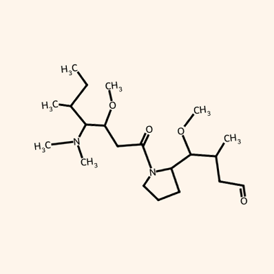 CCC(C)C(C(CC(=O)N1CCCC1C(OC)C(C)CC=O)OC)N(C)C